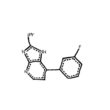 CC(C)c1nc2nccc(-c3cccc(F)c3)c2[nH]1